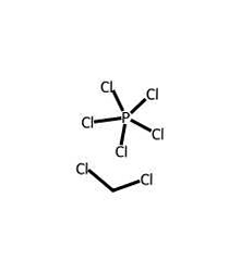 ClCCl.ClP(Cl)(Cl)(Cl)Cl